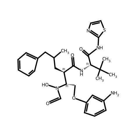 CC(Cc1ccccc1)C[C@@H](C(=O)N[C@H](C(=O)Nc1nccs1)C(C)(C)C)[C@H](COc1cccc(N)c1)N(O)C=O